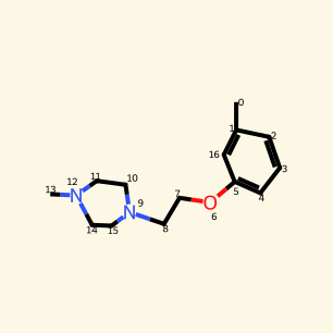 Cc1[c]ccc(OCCN2CCN(C)CC2)c1